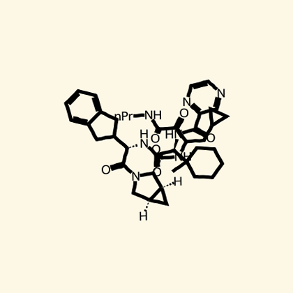 CCCNC(=O)C(=O)C(CC1CC1)NC(=O)[C@@H]1[C@H]2C[C@H]2CN1C(=O)[C@@H](NC(=O)[C@@H](NC(=O)c1cnccn1)C1(C)CCCCC1)C1Cc2ccccc2C1